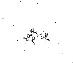 C=CC(=O)OCCC[SiH](C)C(OCC)OCC